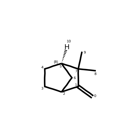 C=C1C2CC[C@H](C2)C1(C)C